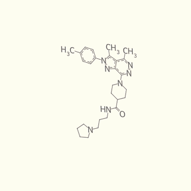 Cc1ccc(-n2nc3c(N4CCC(C(=O)NCCCN5CCCC5)CC4)nnc(C)c3c2C)cc1